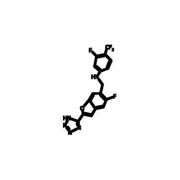 Fc1cc2cc(-c3nnn[nH]3)oc2cc1CNc1ccc(C(F)(F)F)c(F)c1